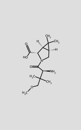 COCC(C)(C)[C@H](N)C(=O)N1C[C@H]2[C@@H]([C@H]1C(=O)O)C2(C)C